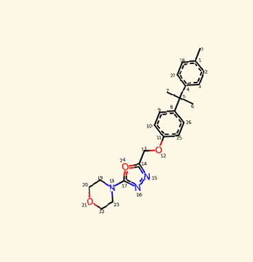 Cc1ccc(C(C)(C)c2ccc(OCc3nnc(N4CCOCC4)o3)cc2)cc1